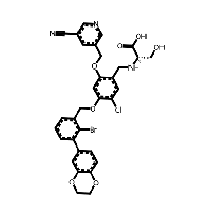 N#Cc1cncc(COc2cc(OCc3cccc(-c4ccc5c(c4)OCCO5)c3Br)c(Cl)cc2CN[C@@H](CO)C(=O)O)c1